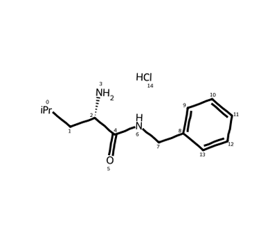 CC(C)C[C@H](N)C(=O)NCc1ccccc1.Cl